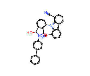 N#Cc1cccc2c3cccc(C#N)c3n(-c3cccc4c3C(=O)N(c3ccc(-c5ccccc5)cc3)C4O)c12